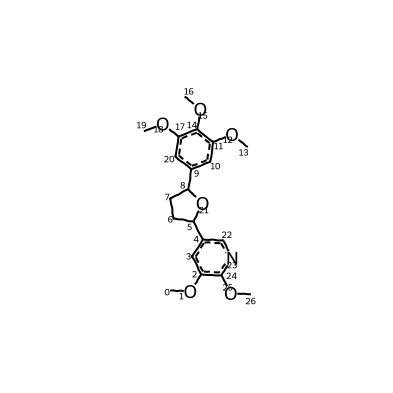 COc1cc(C2CCC(c3cc(OC)c(OC)c(OC)c3)O2)cnc1OC